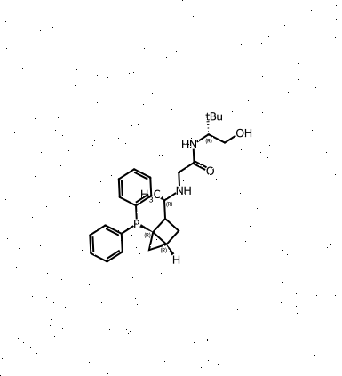 C[C@@H](NCC(=O)N[C@@H](CO)C(C)(C)C)C1C[C@@H]2C[C@]12P(c1ccccc1)c1ccccc1